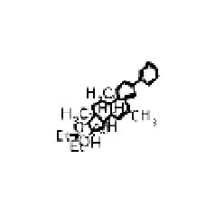 CCC1(CC)O[C@H]2C[C@H]3[C@@H]4C=C(C)C5=CC(c6ccccc6)=CC[C@]5(C)[C@H]4CC[C@]3(C)[C@]2(C(C)=O)O1